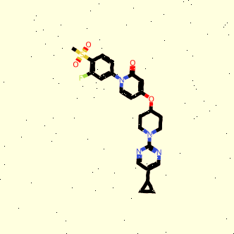 CS(=O)(=O)c1ccc(-n2ccc(OC3CCN(c4ncc(C5CC5)cn4)CC3)cc2=O)cc1F